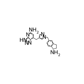 Nc1cc(Cc2cnn(Cc3ccc4c(c3)CC[C@@H]4N)c2)c2nn[nH]c2n1